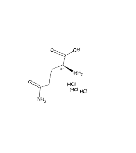 Cl.Cl.Cl.NC(=O)CC[C@H](N)C(=O)O